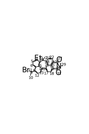 CCC1(C)c2cccc3c(C(C)Br)ccc(c23)-c2ccc3c4c(ccc1c24)C(=O)N(C)C3=O